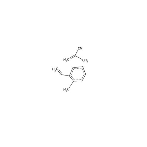 C=C(C)C#N.C=Cc1ccccc1C